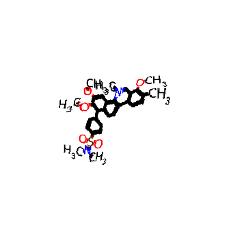 COc1cc2c(ccc3c4ccc(C)c(OC)c4c[n+](C)c23)c(-c2ccc(S(=O)(=O)N(C)C)cc2)c1OC